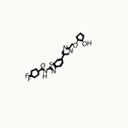 O=C(Nc1nc2ccc(-c3cnc(CO[C@H]4CCC[C@@H]4O)nc3)cc2s1)C1CCC(F)(F)CC1